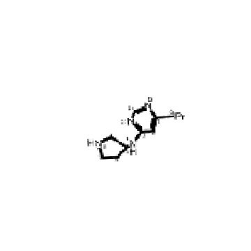 CC(C)c1cc(NC2CCNC2)ncn1